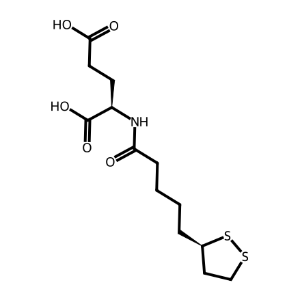 O=C(O)CC[C@@H](NC(=O)CCCC[C@@H]1CCSS1)C(=O)O